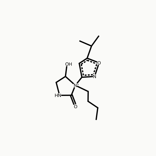 CCCC[N+]1(c2cc(C(C)C)on2)C(=O)NCC1O